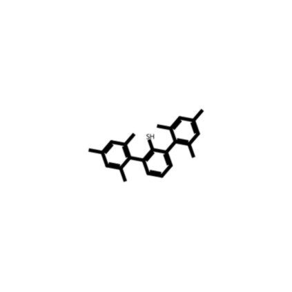 Cc1cc(C)c(-c2cccc(-c3c(C)cc(C)cc3C)c2S)c(C)c1